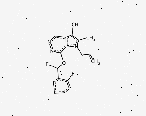 C=CCn1c(C)c(C)c2cnnc(OC(F)c3ccccc3F)c21